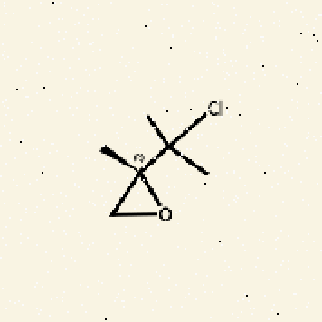 CC(C)(Cl)[C@@]1(C)CO1